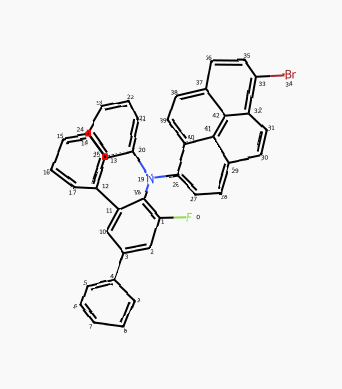 Fc1cc(-c2ccccc2)cc(-c2ccccc2)c1N(c1ccccc1)c1ccc2ccc3c(Br)ccc4ccc1c2c43